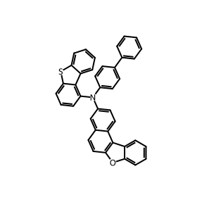 c1ccc(-c2ccc(N(c3ccc4c(ccc5oc6ccccc6c54)c3)c3cccc4sc5ccccc5c34)cc2)cc1